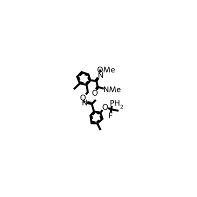 CNC(=O)/C(=N/OC)c1cccc(C)c1CO/N=C(\C)c1ccc(C)cc1OC(C)(F)P